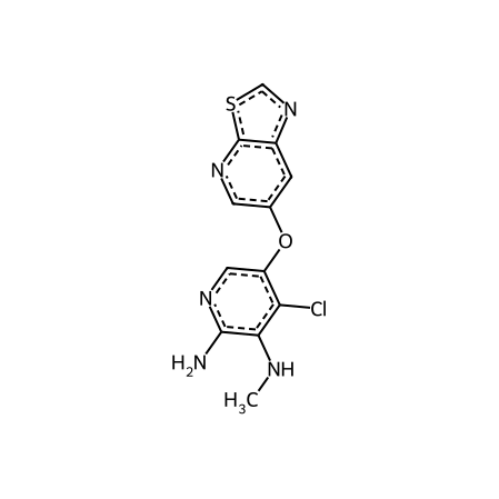 CNc1c(N)ncc(Oc2cnc3scnc3c2)c1Cl